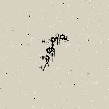 COCCN/C=C(\C=N)Nc1cccn2c(C#Cc3cc(C(=O)NC4C=C(C(F)(F)F)C=CC4)ccc3C)cnc12